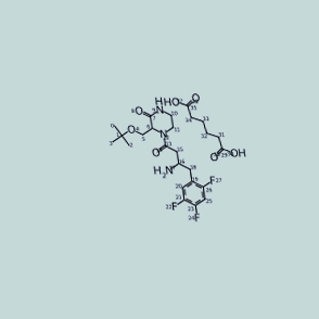 CC(C)(C)OCC1C(=O)NCCN1C(=O)CC(N)Cc1cc(F)c(F)cc1F.O=C(O)CCCCC(=O)O